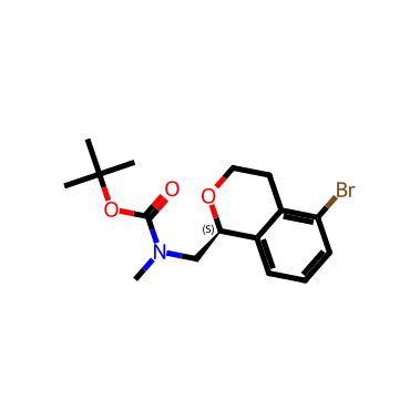 CN(C[C@H]1OCCc2c(Br)cccc21)C(=O)OC(C)(C)C